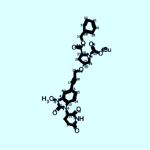 Cn1c(=O)n(C2CCC(=O)NC2=O)c2ccc(C#CCO[C@@H]3C[C@@H](C(=O)OCc4ccccc4)N(C(=O)OC(C)(C)C)C3)cc21